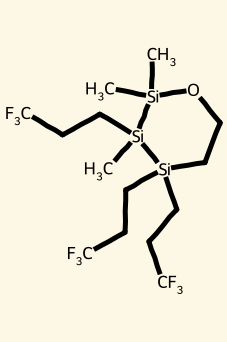 C[Si]1(C)OCC[Si](CCC(F)(F)F)(CCC(F)(F)F)[Si]1(C)CCC(F)(F)F